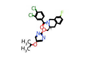 CC(C)Oc1cnc(OC[C@@H]2Cc3ccc(F)cc3CN2C(=O)c2ccc(Cl)c(Cl)c2)nc1